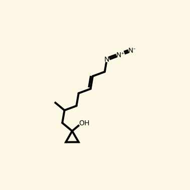 CC(CC/C=C/CN=[N+]=[N-])CC1(O)CC1